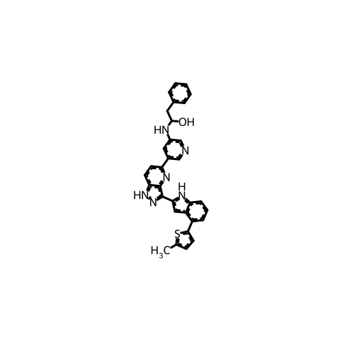 Cc1ccc(-c2cccc3[nH]c(-c4n[nH]c5ccc(-c6cncc(NC(O)Cc7ccccc7)c6)nc45)cc23)s1